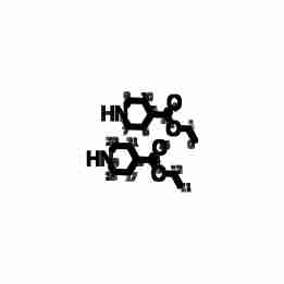 CCOC(=O)C1CCNCC1.CCOC(=O)C1CCNCC1